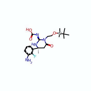 CC(C)(C)[Si](C)(C)OCCN1C(=O)C[C@@](C)(c2cccc(N)c2F)N/C1=N\C(=O)O